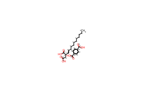 CCCCCCCCCCC=CC(CC(=O)O)C(=O)O.O=C(O)c1ccc(C(=O)O)cc1